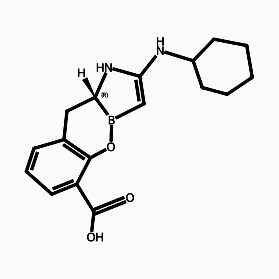 O=C(O)c1cccc2c1OB1C=C(NC3CCCCC3)N[C@H]1C2